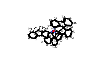 CC1(C)c2ccccc2-c2ccc(N(c3ccccc3-c3ccccc3)c3cccc4c3C3(c5ccccc5-4)c4ccccc4-c4c3ccc3ccccc43)cc21